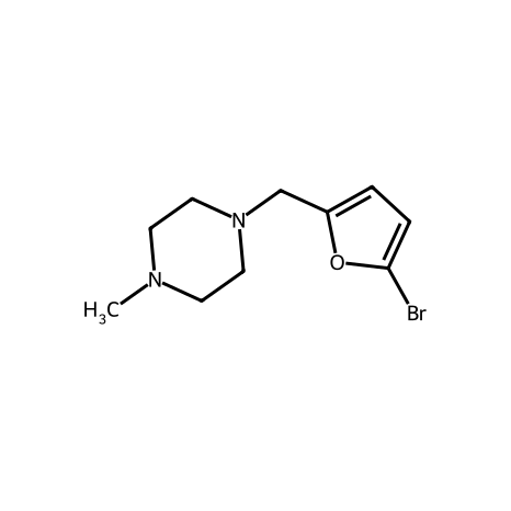 CN1CCN(Cc2ccc(Br)o2)CC1